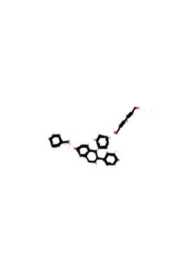 OCC#CC#CCOc1ccc([C@@H]2c3ccc(OCc4ccccc4)cc3CCC2c2ccccc2)cc1